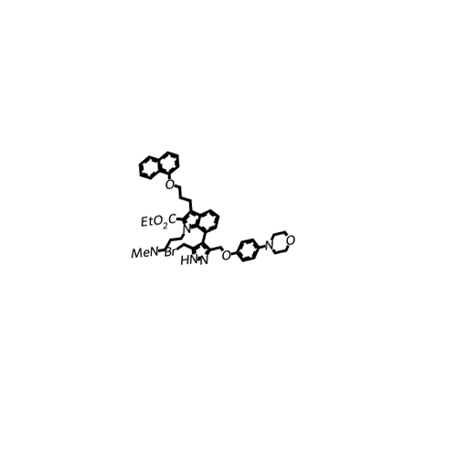 CCOC(=O)c1c(CCCOc2cccc3ccccc23)c2cccc(-c3c(COc4ccc(N5CCOCC5)cc4)n[nH]c3CBr)c2n1CCCNC